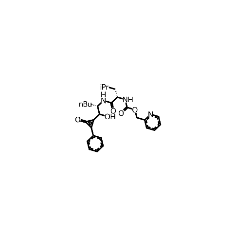 CCCC[C@H](NC(=O)[C@H](CC(C)C)NC(=O)OCc1ccccn1)C(O)c1c(-c2ccccc2)c1=O